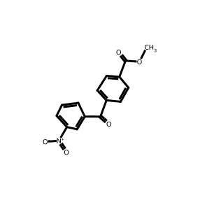 COC(=O)c1ccc(C(=O)c2cccc([N+](=O)[O-])c2)cc1